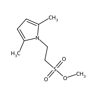 COS(=O)(=O)CCn1c(C)ccc1C